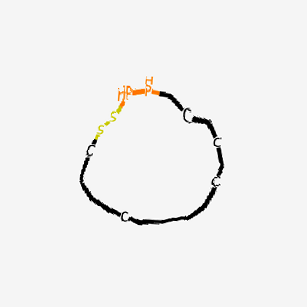 C1CCCCCCCPPSSCCCCCCC1